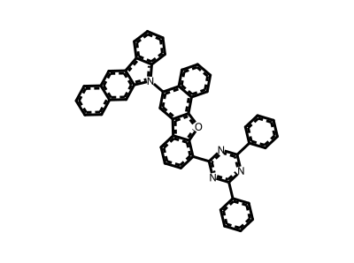 c1ccc(-c2nc(-c3ccccc3)nc(-c3cccc4c3oc3c5ccccc5c(-n5c6ccccc6c6cc7ccccc7cc65)cc43)n2)cc1